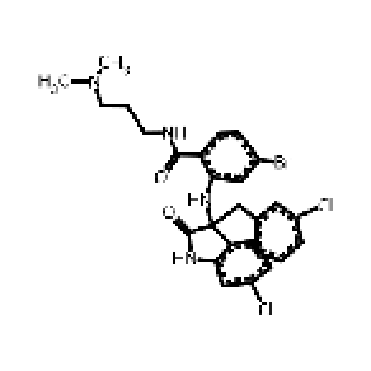 CN(C)CCCNC(=O)c1ccc(Br)cc1NC1(Cc2cccc(Cl)c2)C(=O)Nc2cc(Cl)ccc21